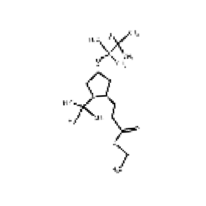 CCOC(=O)CC[C@@H]1C[C@@H](O[Si](C)(C)C(C)(C)C)CN1C(C)(C)C